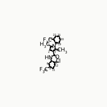 Cc1cc(C(=O)Nc2cc(C(F)(F)F)ccc2Cl)c(C)n1-c1ccccc1C(F)(F)F